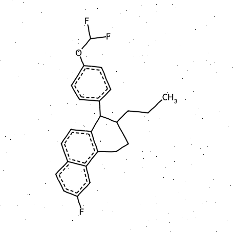 CCCC1CCc2c(ccc3ccc(F)cc23)C1c1ccc(OC(F)F)cc1